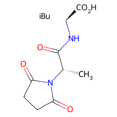 CC[C@H](C)[C@H](NC(=O)[C@H](C)N1C(=O)CCC1=O)C(=O)O